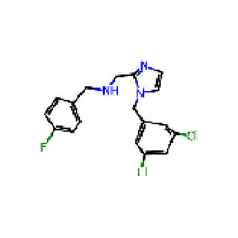 Fc1ccc(CNCc2nccn2Cc2cc(Cl)cc(Cl)c2)cc1